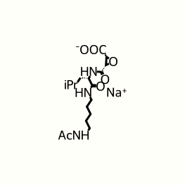 CC(=O)NCCCCCNC(=O)[C@H](CC(C)C)NC(=O)[C@H]1O[C@@H]1C(=O)[O-].[Na+]